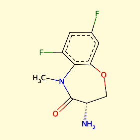 CN1C(=O)[C@@H](N)COc2cc(F)cc(F)c21